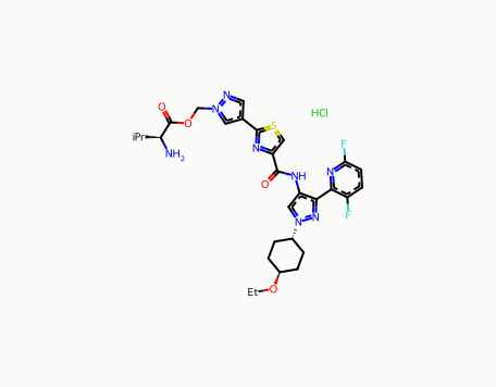 CCO[C@H]1CC[C@H](n2cc(NC(=O)c3csc(-c4cnn(COC(=O)[C@@H](N)C(C)C)c4)n3)c(-c3nc(F)ccc3F)n2)CC1.Cl